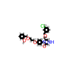 COc1ccccc1COCCCOc1ccc(N2C(=O)CNC[C@@H]2COCc2cccc(Cl)c2)cc1